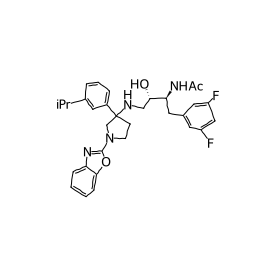 CC(=O)N[C@@H](Cc1cc(F)cc(F)c1)[C@@H](O)CNC1(c2cccc(C(C)C)c2)CCN(c2nc3ccccc3o2)C1